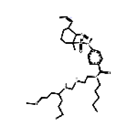 C=NC1C(/C=C\C)CCCC1(C)S(=O)(=O)N(C)c1ccc(C(=O)N(CCCCC)CCNCNC(CCCI)CCCOC)cc1